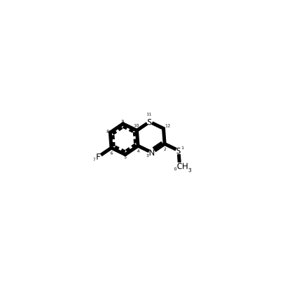 CSC1=Nc2cc(F)ccc2SC1